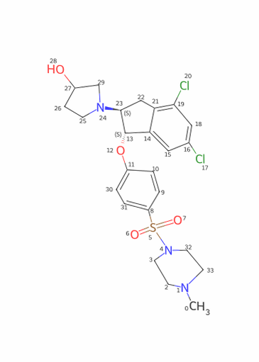 CN1CCN(S(=O)(=O)c2ccc(O[C@H]3c4cc(Cl)cc(Cl)c4C[C@@H]3N3CCC(O)C3)cc2)CC1